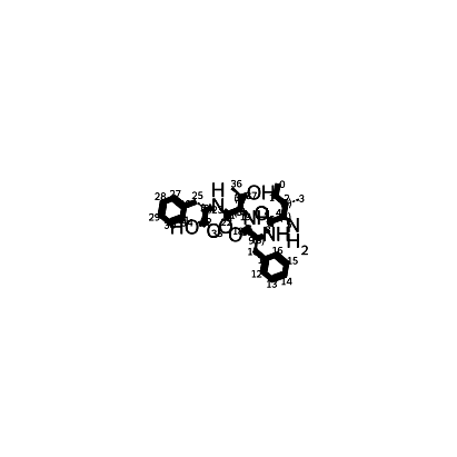 CC[C@H](C)[C@H](N)C(=O)N[C@@H](Cc1ccccc1)C(=O)N[C@H](C(=O)N[C@@H](Cc1ccccc1)C(=O)O)[C@@H](C)O